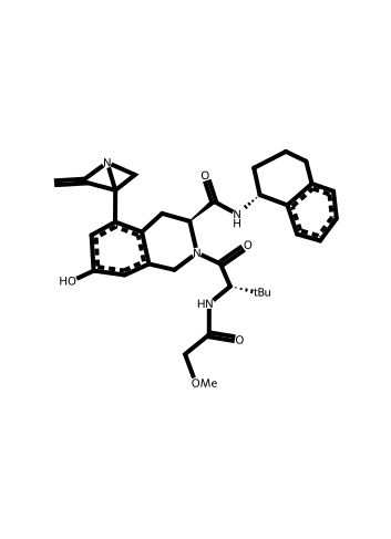 C=C1N2CC12c1cc(O)cc2c1C[C@@H](C(=O)N[C@@H]1CCCc3ccccc31)N(C(=O)[C@@H](NC(=O)COC)C(C)(C)C)C2